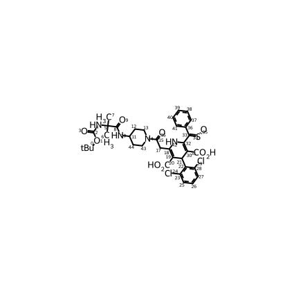 CC(C)(C)OC(=O)NC(C)(C)C(=O)NC1CCN(C(=O)CC2=C(C(=O)O)C(c3c(Cl)cccc3Cl)C(C(=O)O)=C(C(=S=O)c3ccccc3)N2)CC1